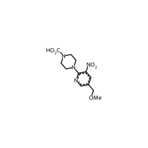 COCc1cnc(N2CCN(C(=O)O)CC2)c([N+](=O)[O-])c1